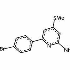 CSc1cc(N)nc(-c2ccc(Br)cc2)c1